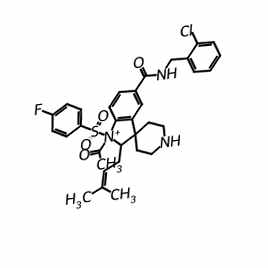 CC(=O)[N+]1(S(=O)(=O)c2ccc(F)cc2)c2ccc(C(=O)NCc3ccccc3Cl)cc2C2(CCNCC2)C1CC=C(C)C